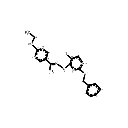 C/C(=N\Oc1nc(OCc2ccccc2)ncc1F)c1cnc(OCC(F)(F)F)nc1